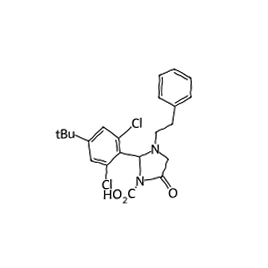 CC(C)(C)c1cc(Cl)c(C2N(CCc3ccccc3)CC(=O)N2C(=O)O)c(Cl)c1